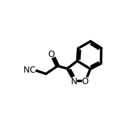 N#CCC(=O)c1noc2ccccc12